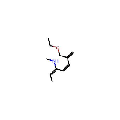 C=C(/C=C\C(=C/C)NC)COCC